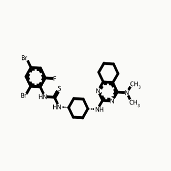 CN(C)c1nc(N[C@H]2CC[C@@H](NC(=S)Nc3c(F)cc(Br)cc3Br)CC2)nc2c1CCCC2